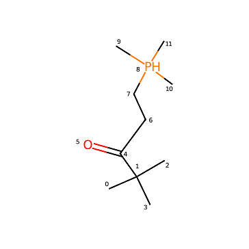 CC(C)(C)C(=O)CC[PH](C)(C)C